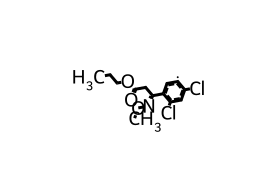 CCCOC(=O)CC(=NOC)c1c[c]c(Cl)cc1Cl